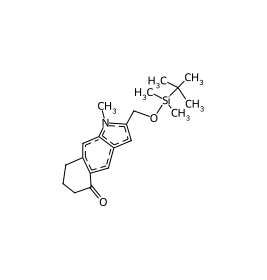 Cn1c(CO[Si](C)(C)C(C)(C)C)cc2cc3c(cc21)CCCC3=O